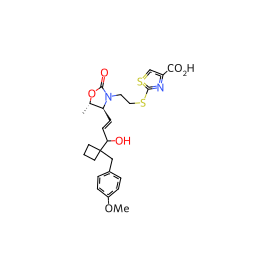 COc1ccc(CC2(C(O)C=C[C@H]3[C@H](C)OC(=O)N3CCSc3nc(C(=O)O)cs3)CCC2)cc1